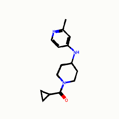 Cc1cc(NC2CCN(C(=O)C3CC3)CC2)ccn1